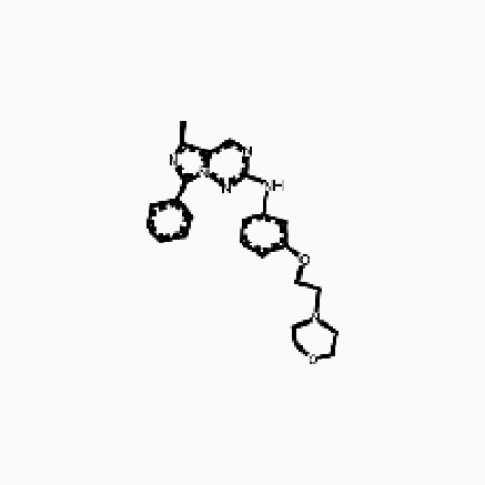 Cc1nc(-c2ccccc2)n2nc(Nc3cccc(OCCN4CCOCC4)c3)ncc12